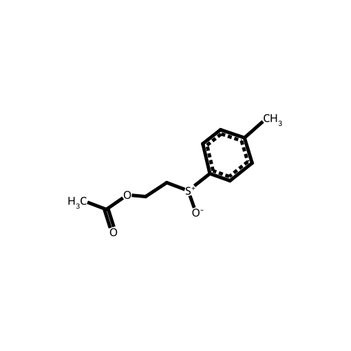 CC(=O)OCC[S+]([O-])c1ccc(C)cc1